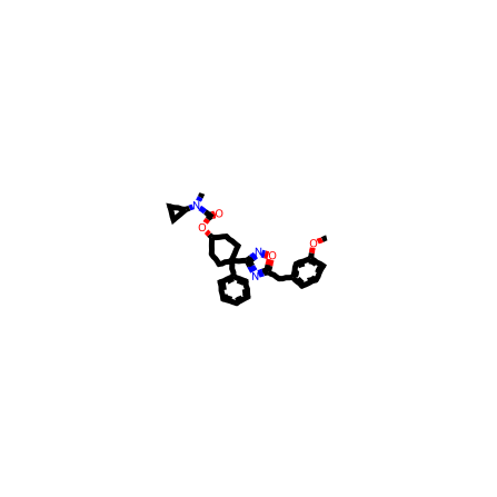 COc1cccc(Cc2nc(C3(c4ccccc4)CCC(OC(=O)N(C)C4CC4)CC3)no2)c1